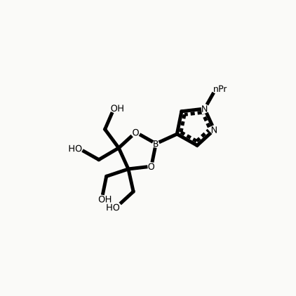 CCCn1cc(B2OC(CO)(CO)C(CO)(CO)O2)cn1